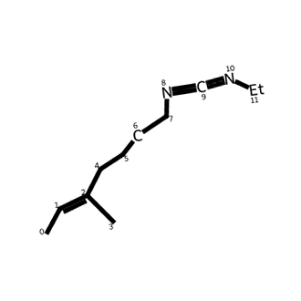 C/C=C(\C)CCCCN=C=NCC